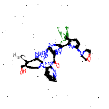 CC1C(N)CN(c2cccnc2NC(=O)c2nc(-c3nc(N4CCOCC4)ccc3C(F)(F)F)cnc2N)CC1CO